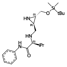 CC(C)[C@H](NC[C@H]1N[C@@H]1CO[Si](C)(C)C(C)(C)C)C(=O)Nc1ccccc1